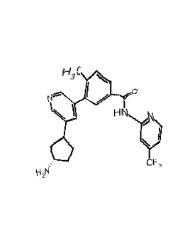 Cc1ccc(C(=O)Nc2cc(C(F)(F)F)ccn2)cc1-c1cncc(C2CC[C@H](N)C2)c1